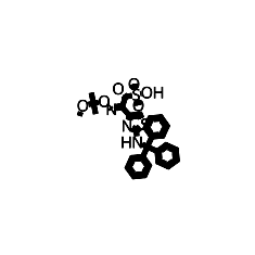 COC(C)(C)ON=C(C(=O)S(=O)(=O)O)c1csc(NC(c2ccccc2)(c2ccccc2)c2ccccc2)n1